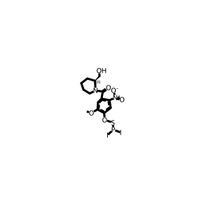 COc1cc(C(=O)N2CCCC[C@H]2CO)c([N+](=O)[O-])cc1OSP(I)I